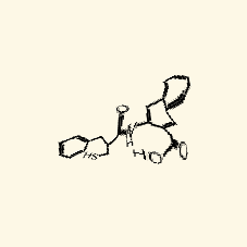 O=C(O)c1cc2ccccc2cc1NC(=O)C(CS)Cc1ccccc1